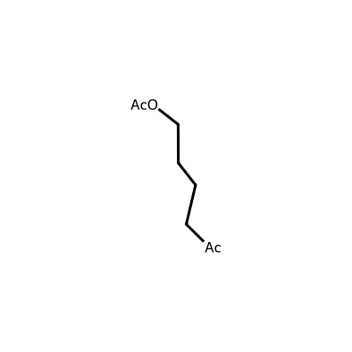 CC(=O)CCCCOC(C)=O